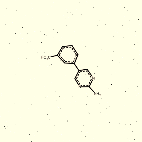 Nc1ncc(-c2cccc(C(=O)O)c2)cn1